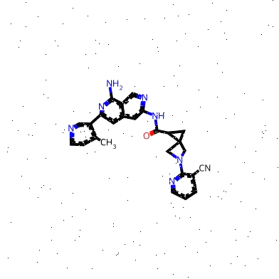 Cc1ccncc1-c1cc2cc(NC(=O)C3CC34CN(c3ncccc3C#N)C4)ncc2c(N)n1